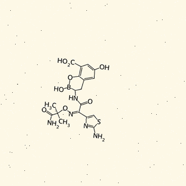 CC(C)(ON=C(C(=O)NC1Cc2cc(O)cc(C(=O)O)c2OB1O)c1csc(N)n1)C(N)=O